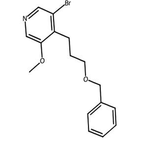 COc1cncc(Br)c1CCCOCc1ccccc1